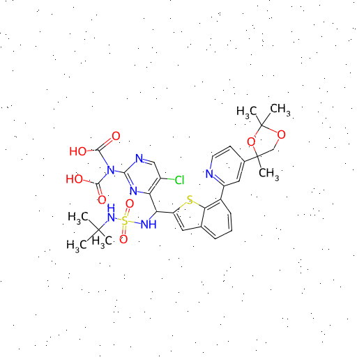 CC(C)(C)NS(=O)(=O)NC(c1cc2cccc(-c3cc(C4(C)COC(C)(C)O4)ccn3)c2s1)c1nc(N(C(=O)O)C(=O)O)ncc1Cl